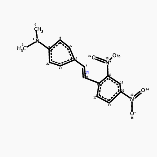 CN(C)c1ccc(/C=C/c2ccc([N+](=O)[O-])cc2[N+](=O)[O-])cc1